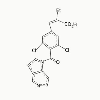 CCC(=Cc1cc(Cl)c(C(=O)n2ccc3cnccc32)c(Cl)c1)C(=O)O